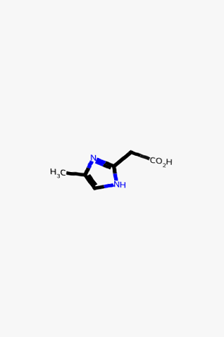 Cc1c[nH]c(CC(=O)O)n1